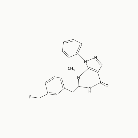 Cc1ccccc1-n1ncc2c(=O)[nH]c(Cc3cccc(CF)c3)nc21